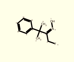 CC(C)(/C(CF)=N\O)c1ccccc1